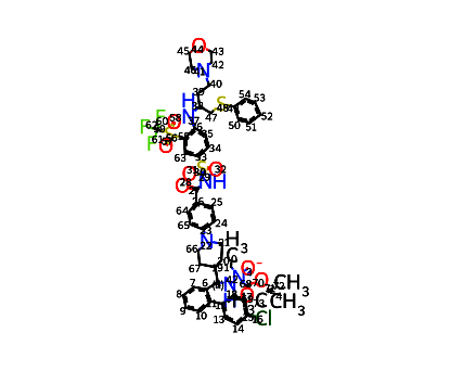 CC[N+]([O-])(N[C@@H](c1ccccc1-c1ccc(Cl)cc1)C1CCN(c2ccc(C(=O)NS(=O)(=O)c3ccc(NC(CCN4CCOCC4)CSc4ccccc4)c(S(=O)(=O)C(F)(F)F)c3)cc2)CC1)C(=O)OC(C)(C)C